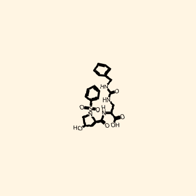 O=C(NCc1ccccc1)NCC(NC(=O)C1CC(O)CN1S(=O)(=O)c1ccccc1)C(=O)O